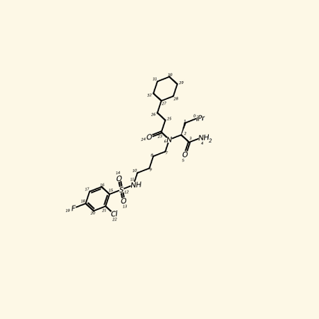 CC(C)C[C@@H](C(N)=O)N(CCCCNS(=O)(=O)c1ccc(F)cc1Cl)C(=O)CCC1CCCCC1